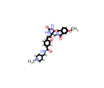 COc1ccc2c(c1)C(=O)N(C[C@@]1(c3cc4ccc(C(=O)NCC5CCN(C)CC5)cc4o3)NC(=O)NC1=O)C2